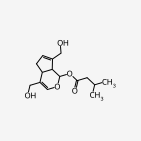 CC(C)CC(=O)OC1OC=C(CO)C2CC=C(CO)C12